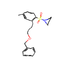 Cc1ccc(S(=O)(=O)N2CC2)c(CCOCc2ccccc2)c1